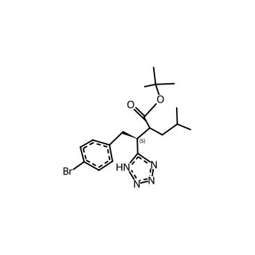 CC(C)CC(C(=O)OC(C)(C)C)[C@H](Cc1ccc(Br)cc1)c1nnn[nH]1